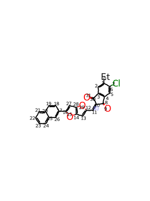 CCc1cc2c(cc1Cl)C(=O)/C(=C/c1cc3oc(-c4ccc5ccccc5c4)cc3o1)C2=O